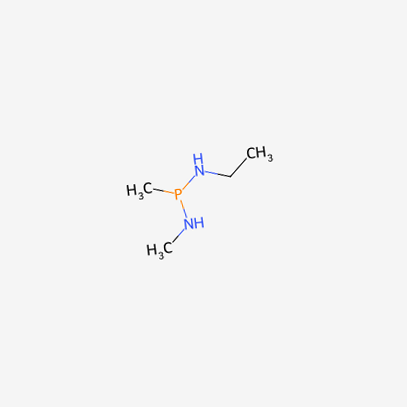 CCNP(C)NC